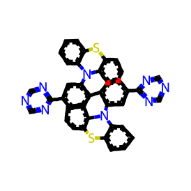 c1ccc2c(c1)Sc1ccccc1N2c1cc(-c2ncncn2)ccc1-c1ccc(-c2ncncn2)cc1N1c2ccccc2Sc2ccccc21